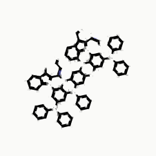 C=C/C=C1/B2c3cc4c(cc3N(c3ccccc3)c3cc(N(c5ccccc5)c5ccccc5)cc(c32)-n2c1c(C)c1ccccc12)Sc1cc(N(c2ccccc2)c2ccccc2)cc2c1B4c1cccc3c(C=C)c(/C=C\C)n-2c13